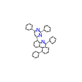 c1ccc(-c2cc(-c3cccc4c3nc(-c3ccccc3)c3cccc(-c5ccccc5)c34)nc(-c3ccccc3)n2)cc1